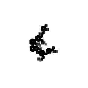 COc1nc(-c2cccc(-c3cccc4c3CC[C@@H]4Oc3nc(OC)c(CN4CC[C@@H](C(=O)O)C4)cc3Cl)c2C)ccc1CNC[C@@H]1CCC(=O)N1